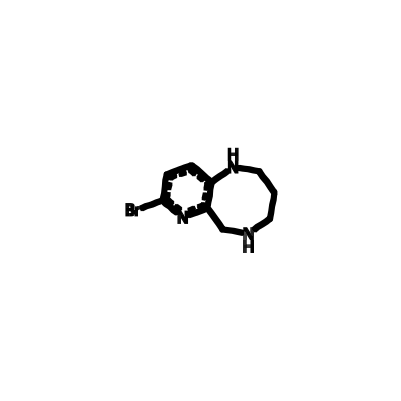 Brc1ccc2c(n1)CNCCCN2